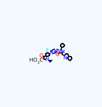 O=C(O)c1cn(C2CC2)c2cc(N3CCN(CN4C(=O)C(=Cc5ccc6ccccc6n5)N=C4c4ccccc4)CC3)c(F)cc2c1=O